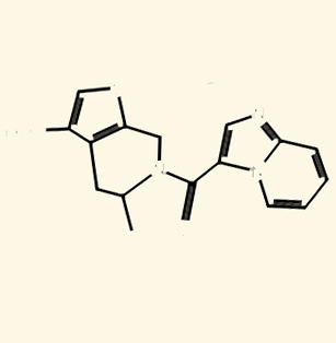 CC1Cc2c(C(=O)[O-])csc2CN1C(=O)c1cnc2ccccn12.[Li+]